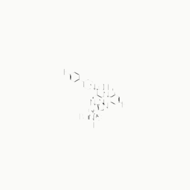 CC(C)(C)NS(=O)(=O)c1cnn2c(Nc3ccc(F)cc3Cl)c(C(=O)N3CCC(c4ccc(F)cc4)CC3)cnc12